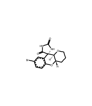 O=C1NC(=O)[C@]2(N1)c1cc(Br)ccc1O[C@H]1CCCO[C@@H]12